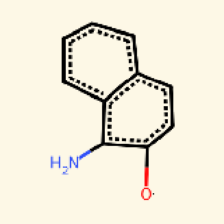 Nc1c([O])ccc2ccccc12